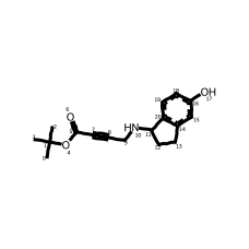 CC(C)(C)OC(=O)C#CCNC1CCc2cc(O)ccc21